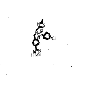 Cc1nc(CN(Cc2ccc(-c3nn[nH]n3)cc2)S(=O)(=O)c2ccc(Cl)cc2)cs1